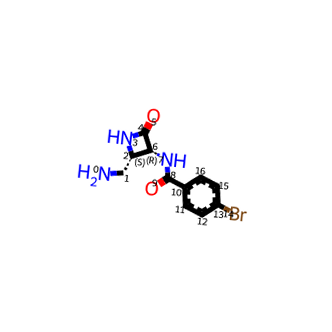 NC[C@@H]1NC(=O)[C@@H]1NC(=O)c1ccc(Br)cc1